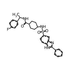 C[C@@H](NC(=O)C1CCC(NS(=O)(=O)c2ccc3[nH]c(-c4ccccc4)nc3c2)CC1)c1ccc(F)cc1